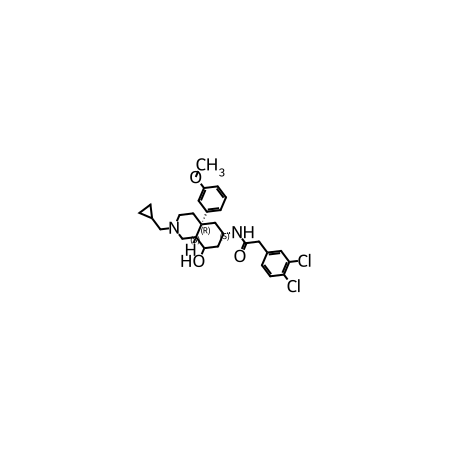 COc1cccc([C@@]23CCN(CC4CC4)C[C@H]2C(O)C[C@@H](NC(=O)Cc2ccc(Cl)c(Cl)c2)C3)c1